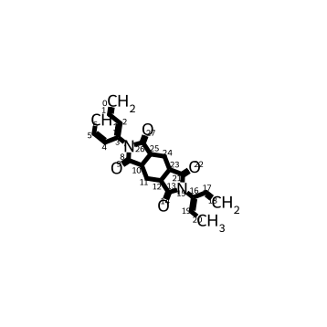 C=C/C=C(\C=C/C)N1C(=O)C2CC3C(=O)N(/C(C=C)=C/C)C(=O)C3CC2C1=O